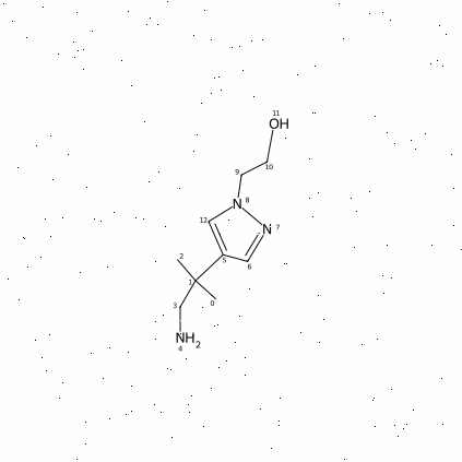 CC(C)(CN)c1cnn(CCO)c1